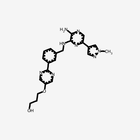 Cn1cc(-c2cnc(N)c(NCc3cccc(-c4ncc(OCCCO)cn4)c3)n2)cn1